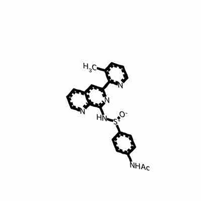 CC(=O)Nc1ccc([S+]([O-])Nc2nc(-c3ncccc3C)cc3cccnc23)cc1